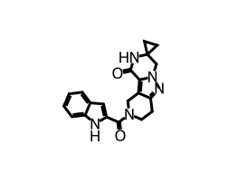 O=C1NC2(CC2)Cn2nc3c(c21)CN(C(=O)c1cc2ccccc2[nH]1)CC3